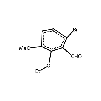 CCOc1c(OC)ccc(Br)c1C=O